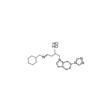 CC(CC=NCC1CCCCC1)Cn1ccc2ccc(-n3cnnc3)cc21.Cl.Cl